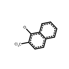 [O]c1c(C(Cl)(Cl)Cl)ccc2ccccc12